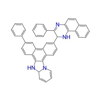 C1=CC2Nc3c(c4ccc(C5Nc6c(ccc7ccccc67)N=C5c5ccccc5)cc4c4cc(-c5ccccc5)ccc34)N2C=C1